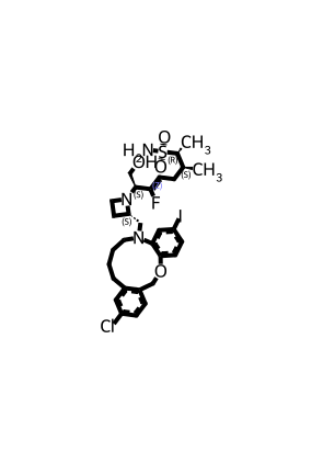 C[C@H]([C@@H](C)C/C=C(\F)[C@H](CO)N1CC[C@H]1CN1CCCCc2cc(Cl)ccc2COc2ccc(I)cc21)S(N)(=O)=O